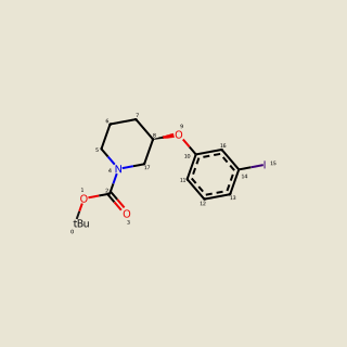 CC(C)(C)OC(=O)N1CCC[C@@H](Oc2cccc(I)c2)C1